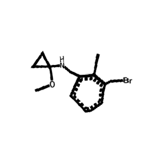 COC1(Nc2cccc(Br)c2C)CC1